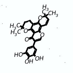 CC1(C)C=Cc2c(c3c(c4c(=O)c(-c5cc(O)c(O)c(O)c5)coc24)OC(C)(C)CC3)O1